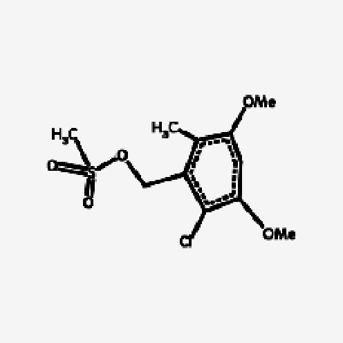 COc1cc(OC)c(Cl)c(COS(C)(=O)=O)c1C